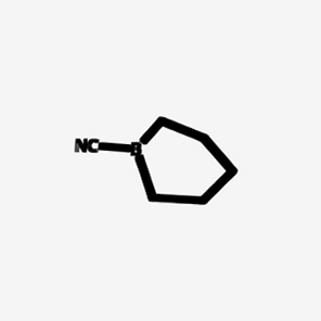 N#CB1CCCCC1